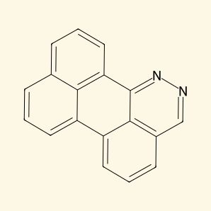 c1cc2cccc3c4nncc5cccc(c(c1)c23)c54